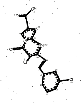 O=C(O)c1cn2c(=O)c(Cl)c(/C=C/c3cccc(Cl)c3)nc2s1